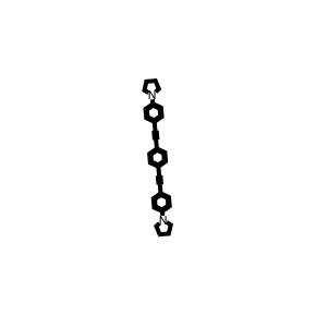 C(#Cc1ccc(N2CCCC2)cc1)c1ccc(C#Cc2ccc(N3CCCC3)cc2)cc1